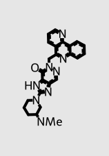 CNC1CCCN(c2nc3cnn(Cc4nc5ccccc5c5ncccc45)c(=O)c3[nH]2)C1